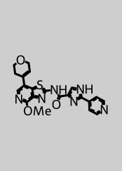 COc1ncc(C2=CCOCC2)c2sc(NC(=O)c3c[nH]c(-c4ccncc4)n3)nc12